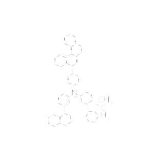 CC1(C)c2ccccc2-c2cc(N(c3ccc(-c4cc5ccc6ccccc6c5c5ccccc45)cc3)c3cccc(-c4cccc5ccccc45)c3)ccc21